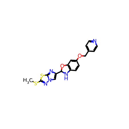 CSc1nn2cc(C3Nc4ccc(OCc5ccncc5)cc4O3)nc2s1